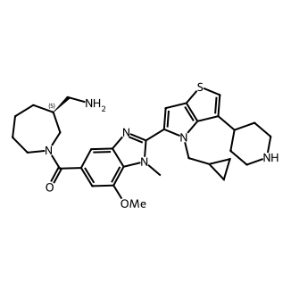 COc1cc(C(=O)N2CCCC[C@@H](CN)C2)cc2nc(-c3cc4scc(C5CCNCC5)c4n3CC3CC3)n(C)c12